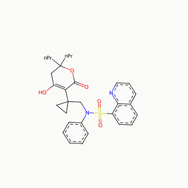 CCCC1(CCC)CC(O)=C(C2(CN(c3ccccc3)S(=O)(=O)c3cccc4cccnc34)CC2)C(=O)O1